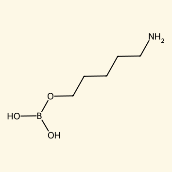 NCCCCCOB(O)O